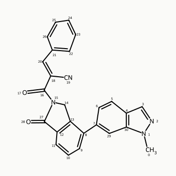 Cn1ncc2ccc(-c3cccc4c3CN(C(=O)/C(C#N)=C/c3ccccc3)C4=O)cc21